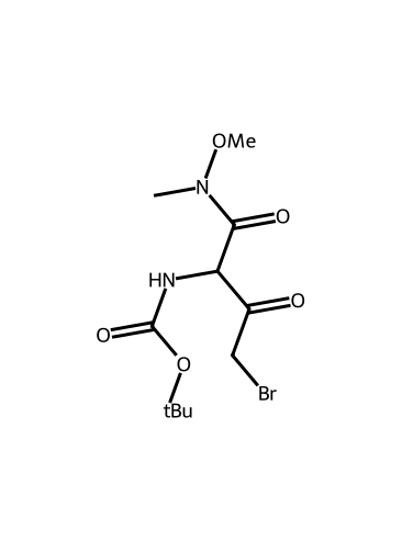 CON(C)C(=O)C(NC(=O)OC(C)(C)C)C(=O)CBr